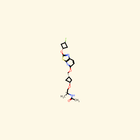 CC(=O)N[C@@H](C)CO[C@H]1C[C@H](COc2ccc3nc(O[C@H]4C[C@H](F)C4)sc3n2)C1